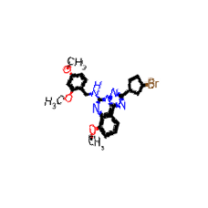 COc1ccc(CNc2nc3c(OC)cccc3c3nc(C4CCC(Br)C4)nn23)c(OC)c1